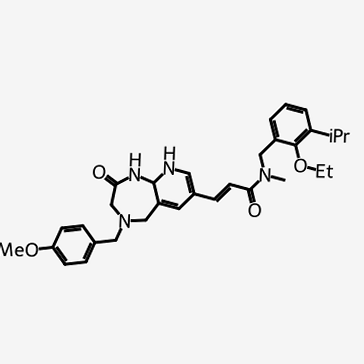 CCOc1c(CN(C)C(=O)/C=C/C2=CNC3NC(=O)CN(Cc4ccc(OC)cc4)CC3=C2)cccc1C(C)C